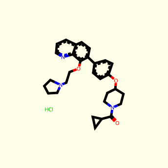 Cl.O=C(C1CC1)N1CCC(Oc2ccc(-c3ccc4cccnc4c3OCCN3CCCC3)cc2)CC1